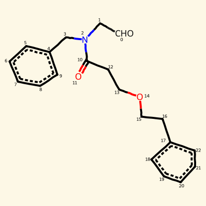 O=CCN(Cc1ccccc1)C(=O)CCOCCc1ccccc1